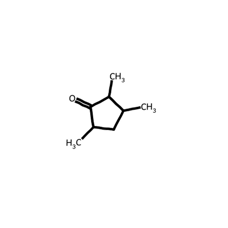 CC1CC(C)C(C)C1=O